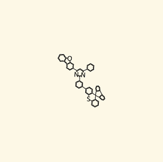 c1ccc(-c2cc(-c3ccc4c(c3)oc3ccccc34)nc(-c3cccc(-c4ccc5c(c4)Sc4ccccc4C54c5ccccc5-c5ccccc54)c3)n2)cc1